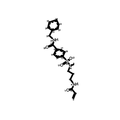 C=CC(=O)NCCCN(C)S(=O)(=O)c1ccc(C(=O)NCc2ccccc2)cc1